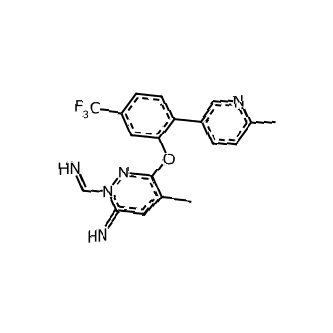 Cc1ccc(-c2ccc(C(F)(F)F)cc2Oc2nn(C=N)c(=N)cc2C)cn1